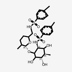 Cc1ccc(S(=O)(=O)NCC2CCC(C)[C@@H](OC3C(O)[C@@H](O)[C@H](C)C(O)[C@@H]3NS(=O)(=O)c3ccc(C)cc3)O2)cc1